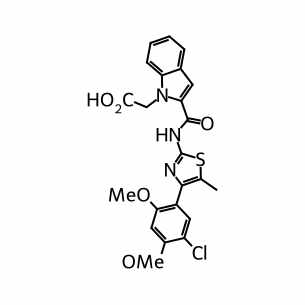 COc1cc(OC)c(-c2nc(NC(=O)c3cc4ccccc4n3CC(=O)O)sc2C)cc1Cl